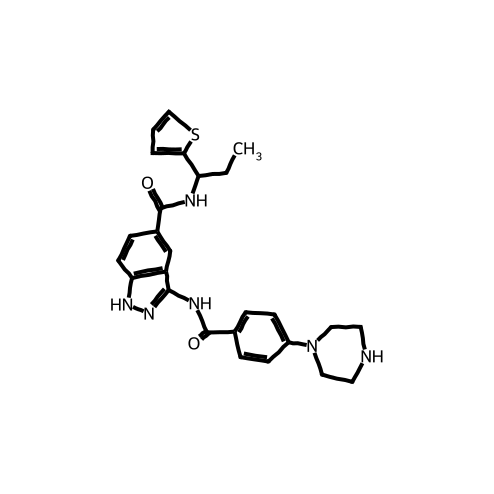 CCC(NC(=O)c1ccc2[nH]nc(NC(=O)c3ccc(N4CCNCC4)cc3)c2c1)c1cccs1